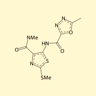 CNC(=O)c1nc(SC)sc1NC(=O)c1nnc(C)o1